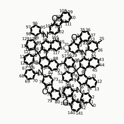 Cc1ccc(N(c2cc3c(c4ccccc24)-c2c(cc(N(c4ccc(C)cc4)c4cccc5oc6ccccc6c45)c4ccccc24)C3(c2ccccc2)c2cccc(-c3ccc4c(N(c5ccccc5)c5ccc6c(c5)oc5ccccc56)cc5c(c4c3)-c3c(cc(N(c4ccccc4)c4ccc6c(c4)oc4ccccc46)c4ccccc34)C5(c3ccccc3)c3ccccc3)c2)c2cccc3oc4ccccc4c23)cc1